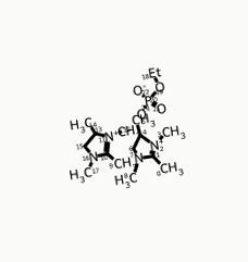 CC1=[N+](C)C(C)CN1C.CC1=[N+](C)C(C)CN1C.CCOP(=O)([O-])[O-]